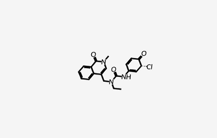 CCN(Cc1cn(C)c(=O)c2ccccc12)C(=O)NC1=C[C@@H](Cl)C(=O)C=C1